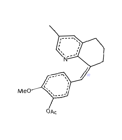 COc1ccc(/C=C2/CCCc3cc(C)cnc32)cc1OC(C)=O